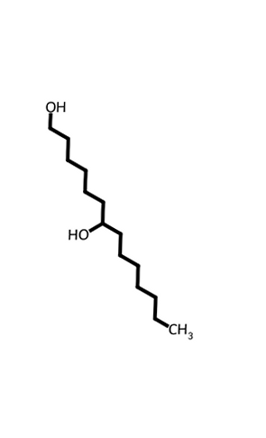 CCCCCCCC(O)CCCCCCO